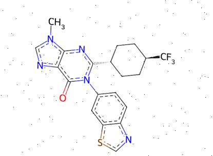 Cn1cnc2c(=O)n(-c3ccc4ncsc4c3)c([C@H]3CC[C@H](C(F)(F)F)CC3)nc21